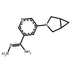 N/N=C(\N)c1cncc(N2CC3CC3C2)c1